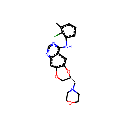 Cc1cccc(Nc2ncnc3cc4c(cc23)O[C@H](CN2CCOCC2)CO4)c1F